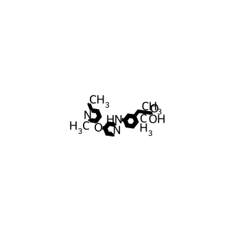 CCc1ccc(Oc2ccnc(Nc3cccc(CC(C)(C)C(=O)O)c3)c2)c(C)n1